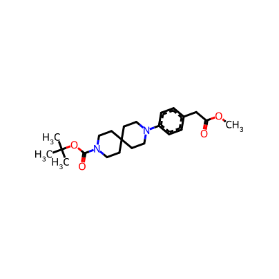 COC(=O)Cc1ccc(N2CCC3(CCN(C(=O)OC(C)(C)C)CC3)CC2)cc1